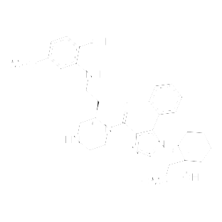 COC[C@]1(O)CCCC[C@H]1n1cnc(C(=O)N2CCNC[C@H]2CCNc2cc(OC)ccc2C)c1-c1ccccc1